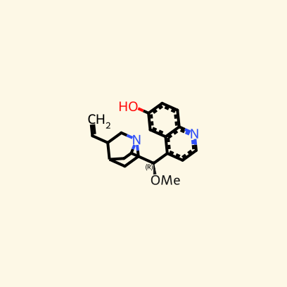 C=CC1CN2CCC1CC2[C@H](OC)c1ccnc2ccc(O)cc12